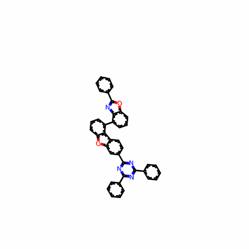 c1ccc(-c2nc(-c3ccccc3)nc(-c3ccc4c(c3)oc3cccc(-c5cccc6oc(-c7ccccc7)nc56)c34)n2)cc1